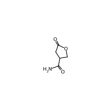 NC(=O)C1COC(=O)C1